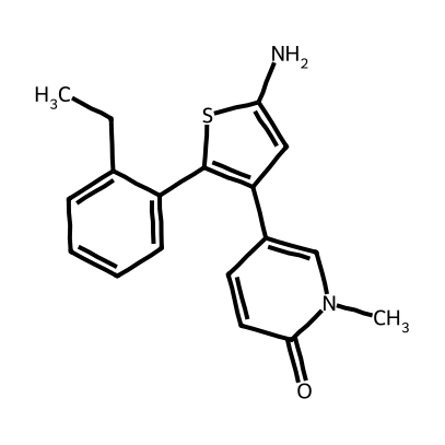 CCc1ccccc1-c1sc(N)cc1-c1ccc(=O)n(C)c1